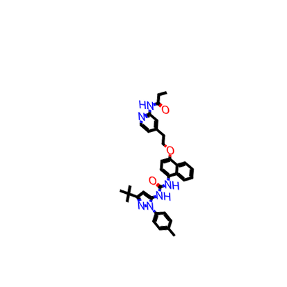 CCC(=O)Nc1cc(CCOc2ccc(NC(=O)Nc3cc(C(C)(C)C)nn3-c3ccc(C)cc3)c3ccccc23)ccn1